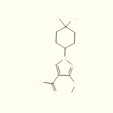 CC(C)Oc1nn(C2CCC(C)(O)CC2)cc1C(N)=O